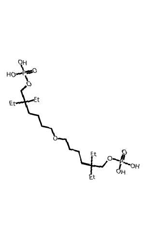 CCC(CC)(CCCCOCCCCC(CC)(CC)COP(=O)(O)O)COP(=O)(O)O